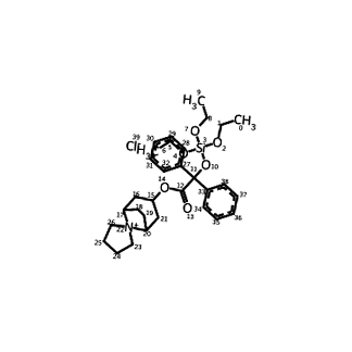 CCO[Si](OCC)(OCC)OC(C(=O)OC1CC2CCC(C1)[N+]21CCCC1)(c1ccccc1)c1ccccc1.[Cl-]